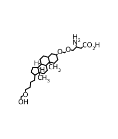 CC12CCC(OCOC[C@@H](N)CC(=O)O)CC1CC[C@@H]1C2CCC2(C)C(CCCCOCO)CC[C@@H]12